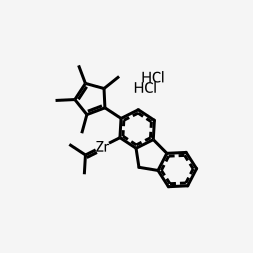 C[C](C)=[Zr][c]1c(C2=C(C)C(C)=C(C)C2C)ccc2c1Cc1ccccc1-2.Cl.Cl